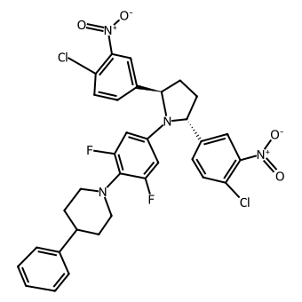 O=[N+]([O-])c1cc([C@H]2CC[C@H](c3ccc(Cl)c([N+](=O)[O-])c3)N2c2cc(F)c(N3CCC(c4ccccc4)CC3)c(F)c2)ccc1Cl